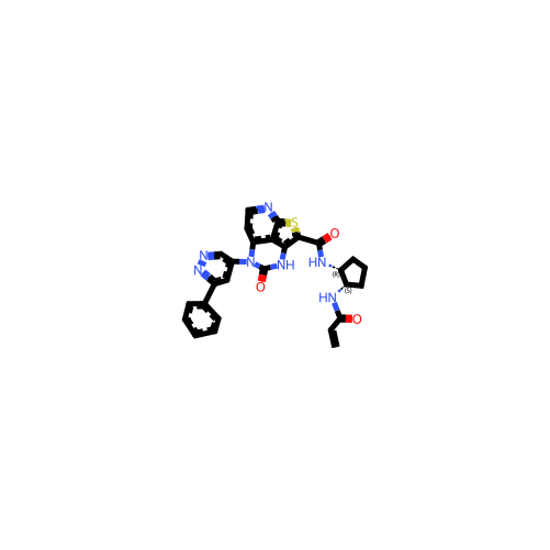 C=CC(=O)N[C@H]1CCC[C@H]1NC(=O)c1sc2nccc3c2c1NC(=O)N3c1cnnc(-c2ccccc2)c1